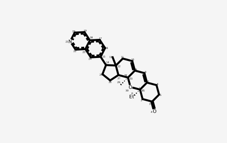 CC[C@@]12CC(=O)CCC1=CC1=CCC3(C)C(c4ccc5ccncc5c4)CCC3[C@]1(C)O2